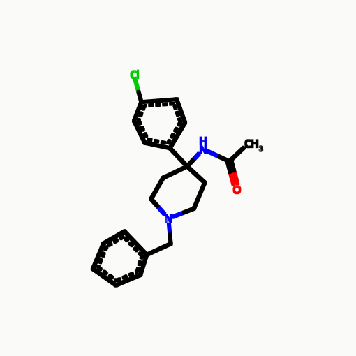 CC(=O)NC1(c2ccc(Cl)cc2)CCN(Cc2ccccc2)CC1